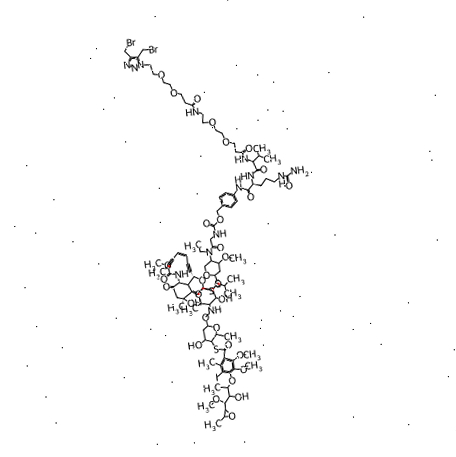 CC#C/C=C\C#C[C@H](OC1OC(C)C(NOC2CC(O)C(SC(=O)c3c(C)c(I)c(OC(C)C(O)C(OC)C4OC4C)c(OC)c3OC)C(C)O2)C(O)C1OC1CC(OC)C(N(CC)C(=O)CNC(=O)OCc2ccc(NC(=O)[C@H](CCCNC(N)=O)NC(=O)[C@@H](NC(=O)CCOCCOCCNC(=O)CCOCCOCCn3nnc(CBr)c3CBr)C(C)C)cc2)CO1)C1/C(=C\CSSC(C)C)[C@@](C)(O)CC(=O)C1NC(=O)OC